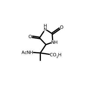 CC(=O)NC(C)(C(=O)O)C1NC(=O)NC1=O